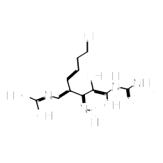 CCC/C=C/C(=C\N=C(C)C)C(=N/C)/C(C)=C(\C)NC(N)=O